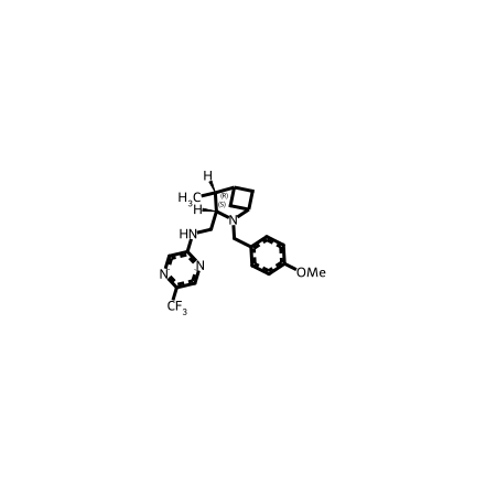 COc1ccc(CN2C3CC(C3)[C@@H](C)[C@H]2CNc2cnc(C(F)(F)F)cn2)cc1